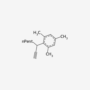 [C]#CC(CCCCC)c1c(C)cc(C)cc1C